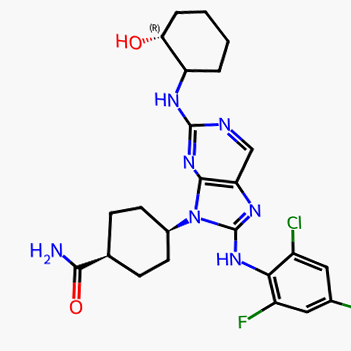 NC(=O)[C@H]1CC[C@@H](n2c(Nc3c(F)cc(F)cc3Cl)nc3cnc(NC4CCCC[C@H]4O)nc32)CC1